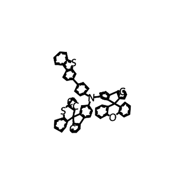 c1ccc2c(c1)Oc1ccccc1C21c2ccccc2-c2ccc(N(c3ccc(-c4ccc5c(c4)sc4ccccc45)cc3)c3ccc4c(c3)C3(c5ccccc5Sc5ccccc53)c3ccccc3-4)cc21